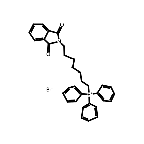 O=C1c2ccccc2C(=O)N1CCCCCCC[P+](c1ccccc1)(c1ccccc1)c1ccccc1.[Br-]